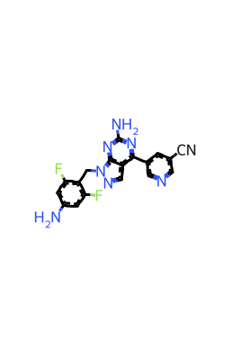 N#Cc1cncc(-c2nc(N)nc3c2cnn3Cc2c(F)cc(N)cc2F)c1